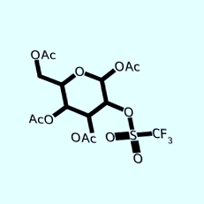 CC(=O)OCC1OC(OC(C)=O)C(OS(=O)(=O)C(F)(F)F)C(OC(C)=O)C1OC(C)=O